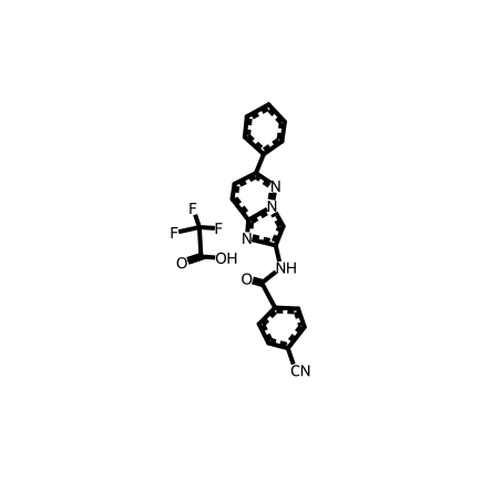 N#Cc1ccc(C(=O)Nc2cn3nc(-c4ccccc4)ccc3n2)cc1.O=C(O)C(F)(F)F